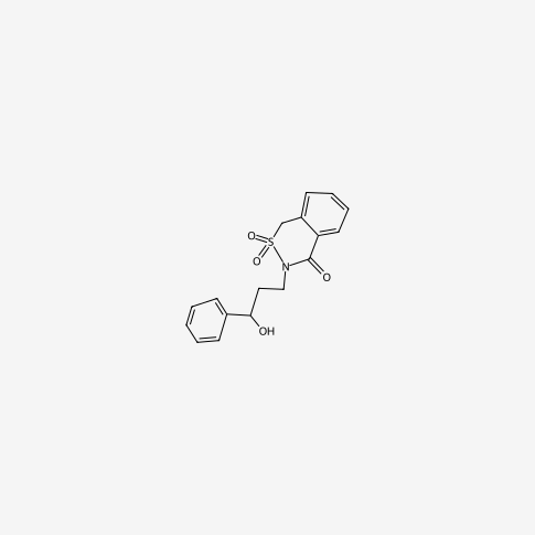 O=C1c2ccccc2CS(=O)(=O)N1CCC(O)c1ccccc1